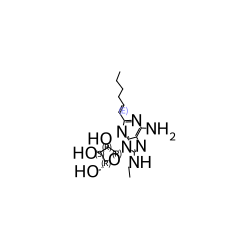 CCCC/C=C/c1nc(N)c2nc(NCC)n([C@@H]3O[C@H](CO)[C@@H](O)[C@H]3O)c2n1